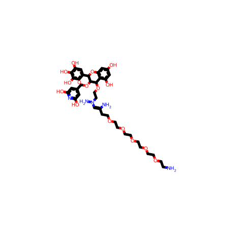 NCCOCCOCCOCCOCCOCC/C(N)=C/N(N)CCOC1c2c(O)cc(O)cc2OC(c2cc(O)c(O)c(O)c2)C1OC(=O)c1cc(O)nc(O)c1